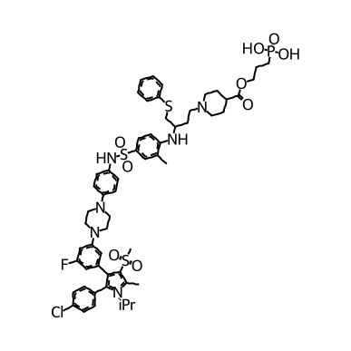 Cc1cc(S(=O)(=O)Nc2ccc(N3CCN(c4cc(F)cc(-c5c(S(C)(=O)=O)c(C)n(C(C)C)c5-c5ccc(Cl)cc5)c4)CC3)cc2)ccc1NC(CCN1CCC(C(=O)OCCCP(=O)(O)O)CC1)CSc1ccccc1